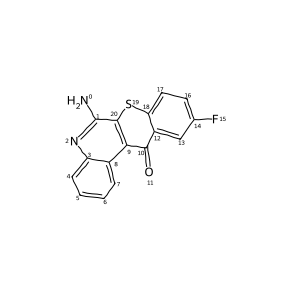 Nc1nc2ccccc2c2c(=O)c3cc(F)ccc3sc12